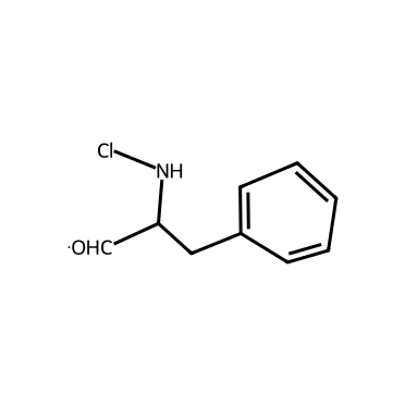 O=[C]C(Cc1ccccc1)NCl